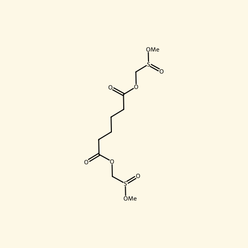 COS(=O)COC(=O)CCCCC(=O)OCS(=O)OC